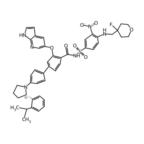 CC(C)c1ccccc1[C@@H]1CCCN1c1ccc(-c2ccc(C(=O)NS(=O)(=O)c3ccc(NCC4(F)CCOCC4)c([N+](=O)[O-])c3)c(Oc3cnc4[nH]ccc4c3)c2)cc1